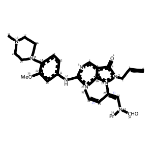 C=CCn1c(=O)c2cnc(Nc3ccc(N4CCN(C)CC4)c(OC)c3)nc2n1C(/C=C\C)=C/N(C=O)C(C)C